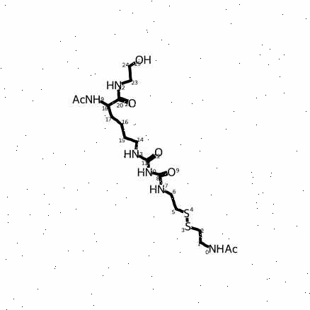 CC(=O)NCCSSCCNC(=O)NC(=O)NCCCCC(NC(C)=O)C(=O)NCCO